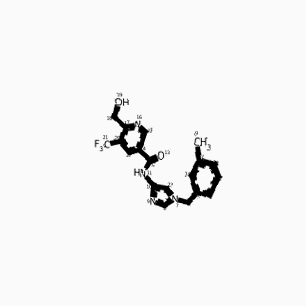 Cc1cccc(Cn2cnc(NC(=O)c3cnc(CO)c(C(F)(F)F)c3)c2)c1